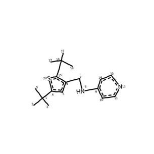 CC(C)(C)c1cc(CNc2ccncc2)c(C(C)(C)C)s1